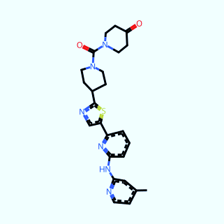 Cc1ccnc(Nc2cccc(-c3cnc(C4CCN(C(=O)N5CCC(=O)CC5)CC4)s3)n2)c1